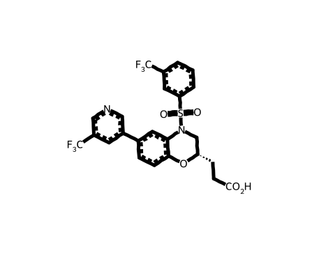 O=C(O)CC[C@H]1CN(S(=O)(=O)c2cccc(C(F)(F)F)c2)c2cc(-c3cncc(C(F)(F)F)c3)ccc2O1